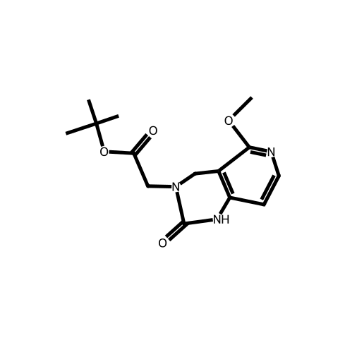 COc1nccc2c1CN(CC(=O)OC(C)(C)C)C(=O)N2